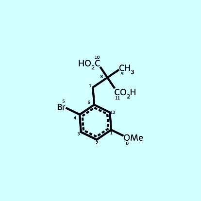 COc1ccc(Br)c(CC(C)(C(=O)O)C(=O)O)c1